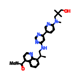 CNC(=O)c1ccnc2c([C@H](C)CNc3cc(-c4ccc(N(C)CC(C)(C)CO)nc4)ncn3)cccc12